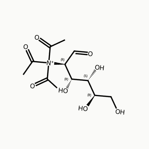 CC(=O)[N+](C(C)=O)(C(C)=O)[C@@H](C=O)[C@@H](O)[C@H](O)[C@H](O)CO